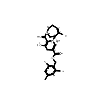 Cc1cc(F)c(CNC(=O)C2=CN3C(=C(O)C2)C(=O)N2CCC=C(F)[C@@H]3C2)c(F)c1